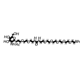 CC(=O)N[C@@H]1[C@@H](O)[C@@H](O)[C@@H](CO)O[C@@H]1CCCOCCOCCNC(=O)NCCOCCOCCOCCOCCOCCN